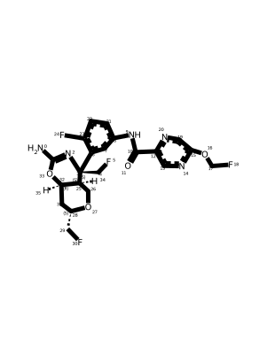 NC1=N[C@](CF)(c2cc(NC(=O)c3cnc(OCF)cn3)ccc2F)[C@H]2CO[C@H](CF)C[C@H]2O1